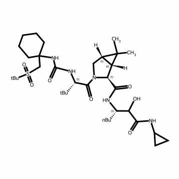 CCCC[C@H](NC(=O)[C@@H]1[C@@H]2[C@H](CN1C(=O)[C@@H](NC(=O)NC1(CS(=O)(=O)C(C)(C)C)CCCCC1)C(C)(C)C)C2(C)C)C(O)C(=O)NC1CC1